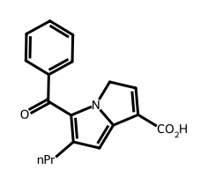 CCCc1cc2n(c1C(=O)c1ccccc1)CC=C2C(=O)O